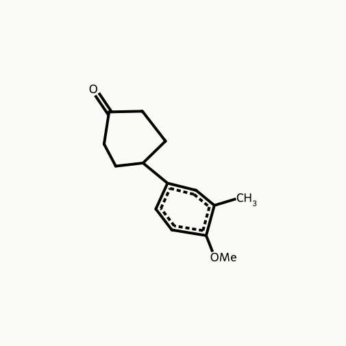 COc1ccc(C2CCC(=O)CC2)cc1C